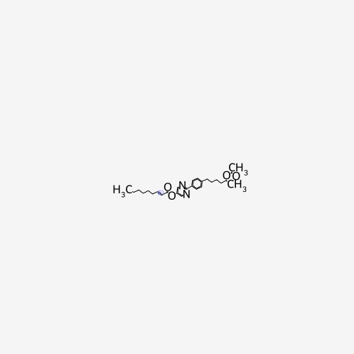 CCCCCC/C=C/C(=O)Oc1cnc(-c2ccc(CCCCC(C)OC(C)=O)cc2)nc1